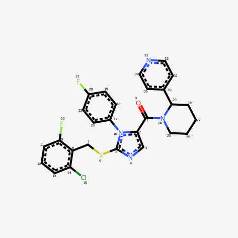 O=C(c1cnc(SCc2c(F)cccc2Cl)n1-c1ccc(F)cc1)N1CCCCC1c1ccncc1